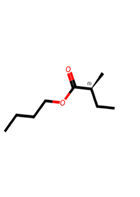 CCCCOC(=O)[C@@H](C)CC